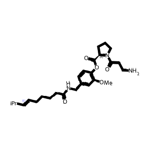 COc1cc(CNC(=O)CCCC/C=C/C(C)C)ccc1OC(=O)[C@H]1CCCN1C(=O)CCN